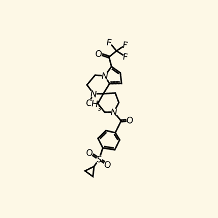 CN1CCn2c(C(=O)C(F)(F)F)ccc2C12CCN(C(=O)c1ccc(S(=O)(=O)C3CC3)cc1)CC2